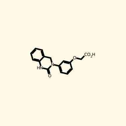 O=C(O)COc1cccc(N2Cc3ccccc3NC2=O)c1